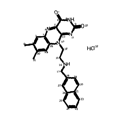 Cc1cc2nc3c(=O)[nH]c(=O)nc-3n(CCNCc3ccc4ccccc4c3)c2cc1C.Cl